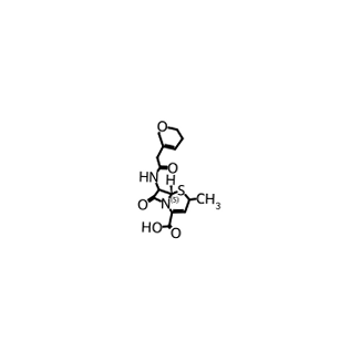 CC1C=C(C(=O)O)N2C(=O)C(NC(=O)CC3=CCCOC3)[C@@H]2S1